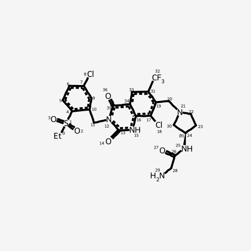 CCS(=O)(=O)c1ccc(Cl)cc1Cn1c(=O)[nH]c2c(Cl)c(CN3CC[C@@H](NC(=O)CN)C3)c(C(F)(F)F)cc2c1=O